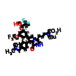 CN(C)Cc1ccc(-c2c(-c3cccc(OC(F)(F)F)c3)cn3c2C(=O)NC[C@@H]3CCCN(C(=O)O)C(C)(C)C)cc1.O=C(O)C(F)(F)F